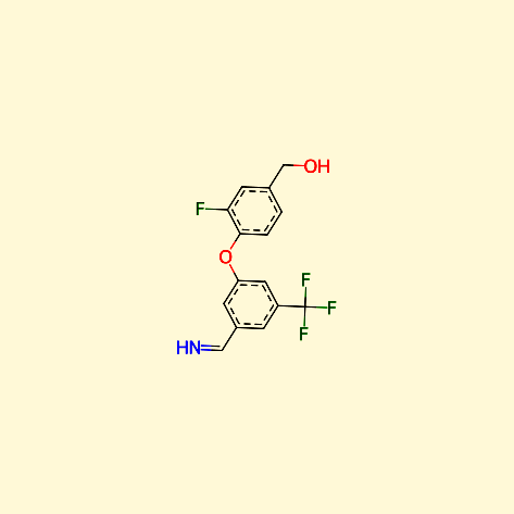 N=Cc1cc(Oc2ccc(CO)cc2F)cc(C(F)(F)F)c1